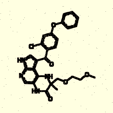 COCCOCC1(C)Nc2c(cnc3[nH]cc(C(=O)c4ccc(Oc5ccccc5)cc4Cl)c23)NC1=O